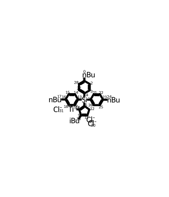 CCCCc1ccc([Si](C2=[C]([Ti+3])C(C(C)CC)=CC2)(c2ccc(CCCC)cc2)c2ccc(CCCC)cc2)cc1.[Cl-].[Cl-].[Cl-]